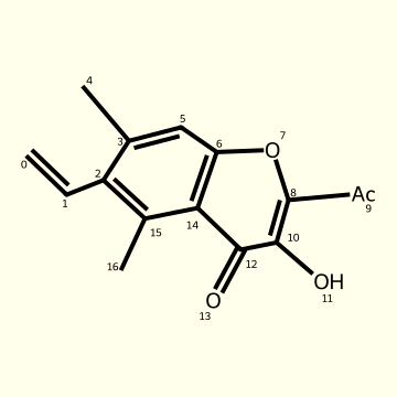 C=Cc1c(C)cc2oc(C(C)=O)c(O)c(=O)c2c1C